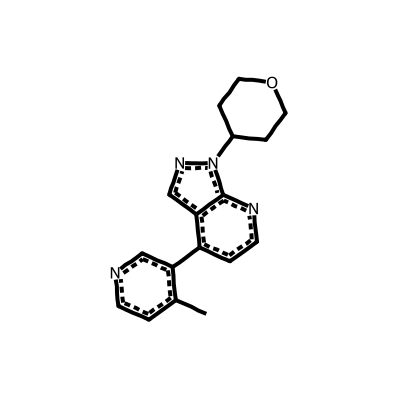 Cc1ccncc1-c1ccnc2c1cnn2C1CCOCC1